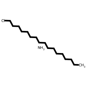 CCCCCCCCCCCCCCCCCCl.N